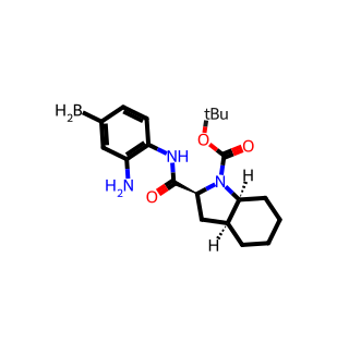 Bc1ccc(NC(=O)[C@@H]2C[C@@H]3CCCC[C@@H]3N2C(=O)OC(C)(C)C)c(N)c1